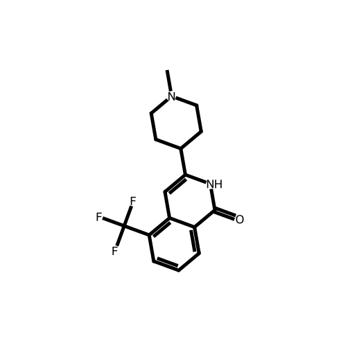 CN1CCC(c2cc3c(C(F)(F)F)cccc3c(=O)[nH]2)CC1